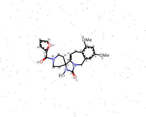 CCN1C(=O)N2Cc3cc(OC)cc(OC)c3CC=C2C12CCN(C(=O)c1ccco1)CC2